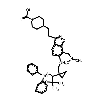 CN(C)Cc1c(OCC2(C(O[SiH](c3ccccc3)c3ccccc3)C(C)(C)C)CC2)ccc2c(CCC3CCN(C(=O)O)CC3)noc12